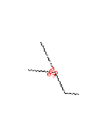 CCCCCCCC/C=C\CCCCCCCCCCCC(=O)O[C@H](COCCCCCCCCCCCCCCCCCC)COC(=O)CCCCCCCCCCCCC